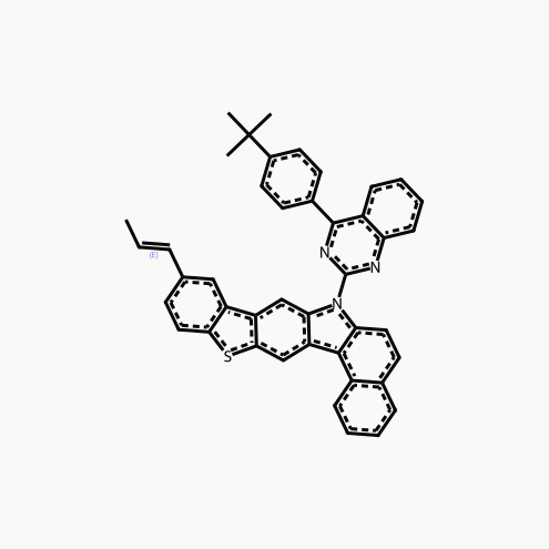 C/C=C/c1ccc2sc3cc4c5c6ccccc6ccc5n(-c5nc(-c6ccc(C(C)(C)C)cc6)c6ccccc6n5)c4cc3c2c1